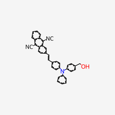 [C-]#[N+]c1c2ccccc2c(C#N)c2ccc(C=Cc3ccc(N(c4ccccc4)c4ccc(CO)cc4)cc3)cc12